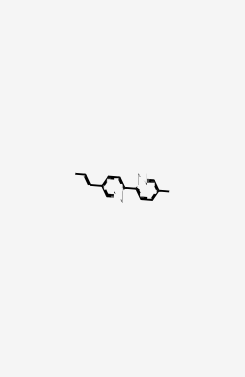 C/C=C/c1ccc(-c2ccc(C)cn2)nc1